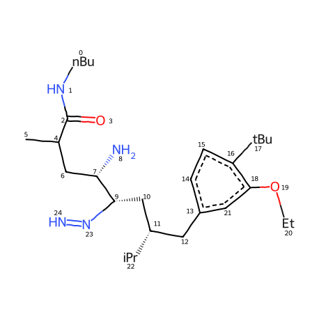 CCCCNC(=O)C(C)C[C@H](N)[C@H](C[C@H](Cc1ccc(C(C)(C)C)c(OCC)c1)C(C)C)N=N